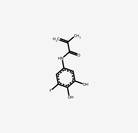 C=C(C)C(=O)Nc1cc(O)c(O)c(F)c1